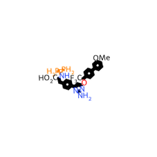 COc1cccc(-c2ccc([C@@H](Oc3cc(-c4ccc(C[C@H](NP(P)P)C(=O)O)cc4)nc(N)n3)C(F)(F)F)cc2)c1